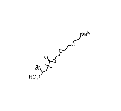 CC(C)(CC(Br)C(=O)O)C(=O)OCCOCCOCCN=[N+]=[N-]